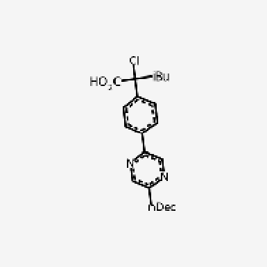 CCCCCCCCCCc1cnc(-c2ccc(C(Cl)(C(=O)O)C(C)CC)cc2)cn1